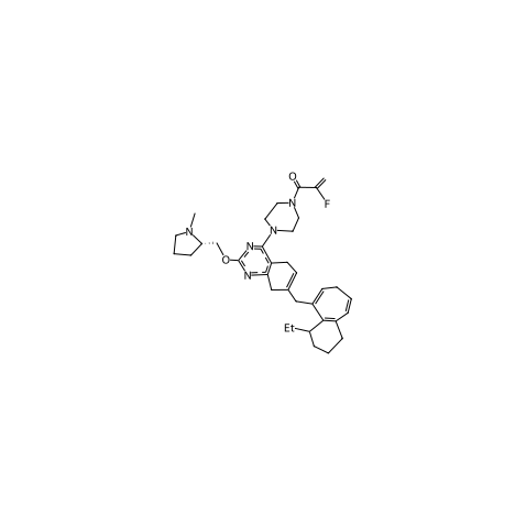 C=C(F)C(=O)N1CCN(c2nc(OC[C@@H]3CCCN3C)nc3c2CC=C(CC2=CCC=CC4=C2C(CC)CCC4)C3)CC1